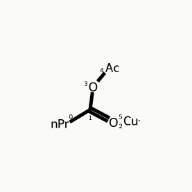 CCCC(=O)OC(C)=O.[Cu]